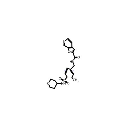 C=C/C=C(\C=C/CS(=O)(=O)NC1CCOCC1)CNC(=O)c1cc2ccncc2o1